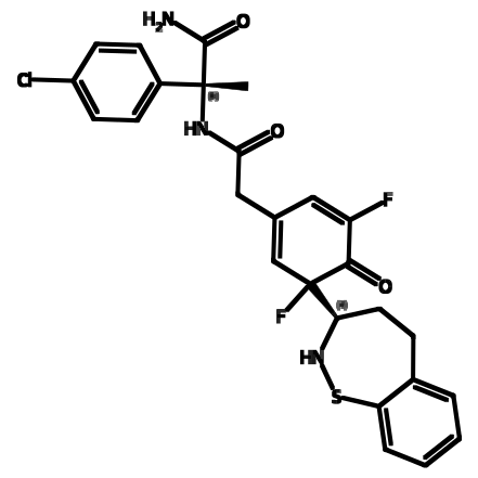 C[C@](NC(=O)CC1=CC(F)([C@H]2CCc3ccccc3SN2)C(=O)C(F)=C1)(C(N)=O)c1ccc(Cl)cc1